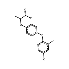 CC(Oc1ccc(Oc2ncc(Cl)cc2F)cc1)C(=O)Cl